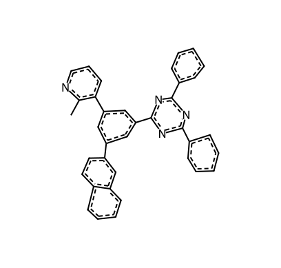 Cc1ncccc1-c1cc(-c2ccc3ccccc3c2)cc(-c2nc(-c3ccccc3)nc(-c3ccccc3)n2)c1